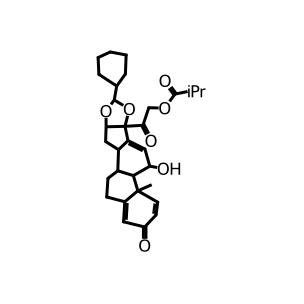 CC(C)C(=O)OCC(=O)C12OC(C3CCCCC3)OC1CC1C2=CC(O)C2C1CCC1=CC(=O)C=CC12C